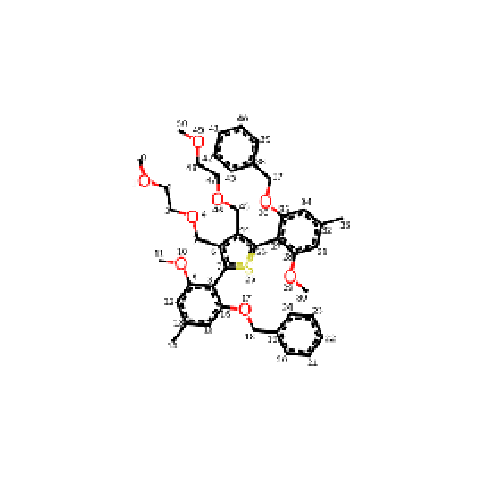 COCCOCc1c(-c2c(OC)cc(C)cc2OCc2ccccc2)sc(-c2c(OC)cc(C)cc2OCc2ccccc2)c1COCCOC